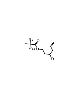 C=CCC(CC)CCOC(=O)C(C)(CC)C(C)(C)C